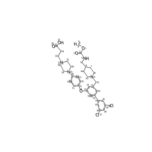 COC(=O)NCC1CCN(Cc2cc(Oc3cnc(N4CCN(CCC(=O)O)CC4)nc3)nc(-c3cc(Cl)cc(Cl)c3)c2)CC1